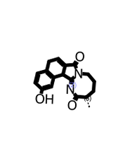 C[C@H]1CCCN2C(=O)C3=CCc4ccc(O)cc4C3/C2=N/C1=O